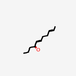 C/C=C/CC/C=C/C(=O)CCC